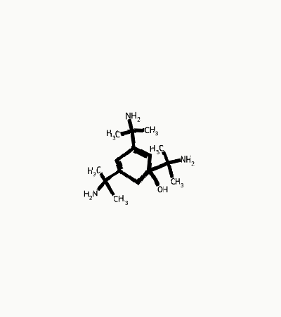 CC(C)(N)C1=CC(O)(C(C)(C)N)CC(C(C)(C)N)=C1